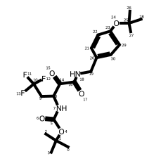 CC(C)(C)OC(=O)NC(CC(F)(F)F)C(=O)C(=O)NCc1ccc(OC(C)(C)C)cc1